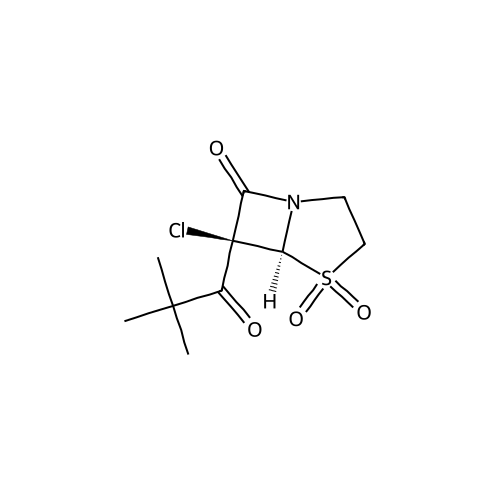 CC(C)(C)C(=O)[C@]1(Cl)C(=O)N2CCS(=O)(=O)[C@H]21